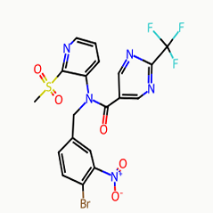 CS(=O)(=O)c1ncccc1N(Cc1ccc(Br)c([N+](=O)[O-])c1)C(=O)c1cnc(C(F)(F)F)nc1